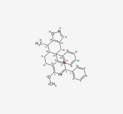 COc1nc(-c2ccccc2)nc2c1CCC1C(C)c3oncc3CC21c1ccccc1